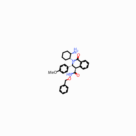 COc1ccc([C@H]2[C@H](C(=O)NOCc3ccccc3)c3ccccc3C(=O)N2[C@@H]2CCCC[C@H]2N)cc1